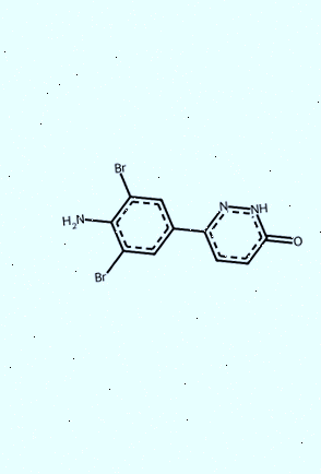 Nc1c(Br)cc(-c2ccc(=O)[nH]n2)cc1Br